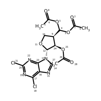 CC(=O)OC(OC(C)=O)[C@@H]1CO[C@@H](n2cnc3c(Cl)nc(Cl)nc32)[C@@H]1OC(C)=O